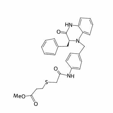 COC(=O)CCSCC(=O)Nc1ccc(CN2c3ccccc3NC(=O)[C@@H]2Cc2ccccc2)cc1